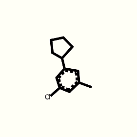 Cc1cc(Cl)cc(C2CCCC2)c1